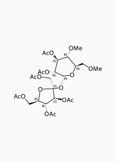 COC[C@H]1O[C@H](O[C@]2(COC(C)=O)O[C@H](COC(C)=O)[C@@H](OC(C)=O)[C@@H]2OC(C)=O)[C@H](OC(C)=O)[C@@H](OC(C)=O)[C@@H]1OC